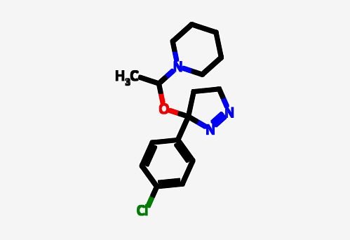 CC(OC1(c2ccc(Cl)cc2)CCN=N1)N1CCCCC1